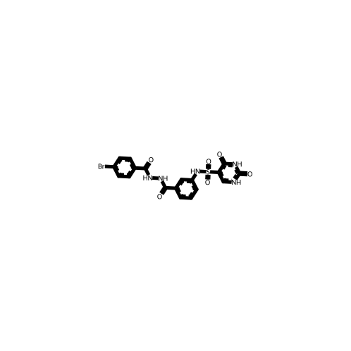 O=C(NNC(=O)c1cccc(NS(=O)(=O)c2c[nH]c(=O)[nH]c2=O)c1)c1ccc(Br)cc1